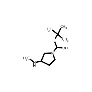 CNC1CCN(C(O)OC(C)(C)C)C1